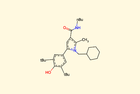 CCCCNC(=O)c1cc(-c2cc(C(C)(C)C)c(O)c(C(C)(C)C)c2)n(CC2CCCCC2)c1C